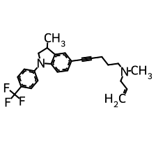 C=CCN(C)CCCC#Cc1ccc2c(c1)C(C)CN2c1ccc(C(F)(F)F)cc1